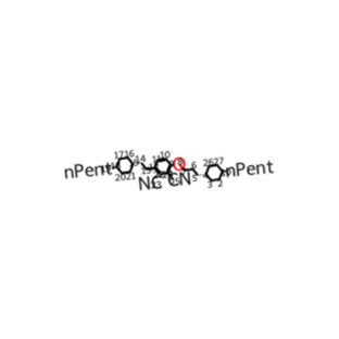 CCCCC[C@H]1CC[C@H](CCCOc2ccc(CC[C@H]3CC[C@H](CCCCC)CC3)c(C#N)c2C#N)CC1